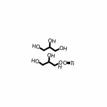 OCC(O)CO.OCC(O)CO.[O]=[Ti]